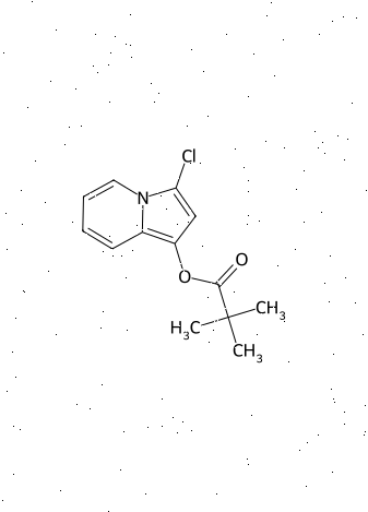 CC(C)(C)C(=O)Oc1cc(Cl)n2ccccc12